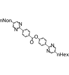 CCCCCCCCCc1cnc(-c2ccc(C(=O)Oc3ccc(-c4ncc(CCCCCC)cn4)cc3)cc2)nc1